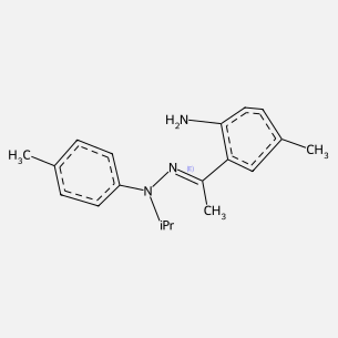 C/C(=N\N(c1ccc(C)cc1)C(C)C)c1cc(C)ccc1N